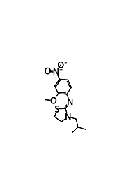 COc1cc([N+](=O)[O-])ccc1N=C1SCCN1CC(C)C